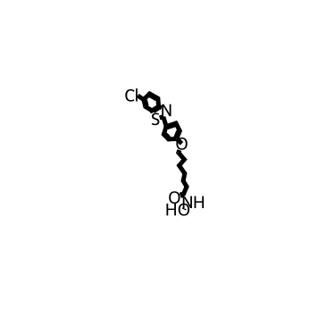 O=C(CCCCCCOc1ccc(-c2nc3ccc(Cl)cc3s2)cc1)NO